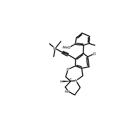 COc1cccc(C)c1-c1c(Cl)cc2c(c1C#C[Si](C)(C)C)OC[C@H]1CNCCN1C2